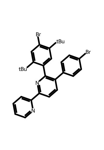 CC(C)(C)c1cc(-c2nc(-c3ccccn3)ccc2-c2ccc(Br)cc2)c(C(C)(C)C)cc1Br